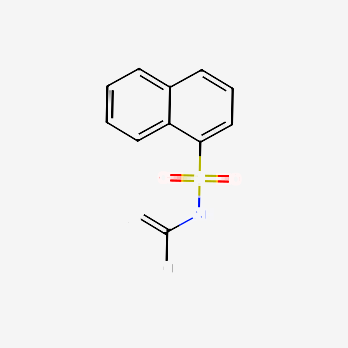 C=C(C)NS(=O)(=O)c1cccc2ccccc12